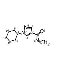 C=NC(=O)c1cnn(C2CCCCC2)c1